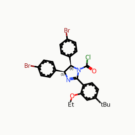 CCOc1cc(C(C)(C)C)ccc1C1=N[C@@H](c2ccc(Br)cc2)[C@@H](c2ccc(Br)cc2)N1C(=O)Cl